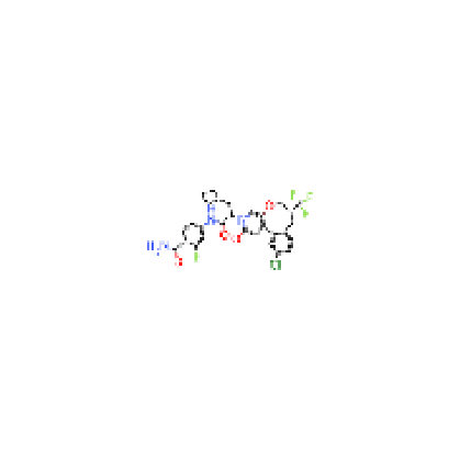 NC(=O)c1ccc(NC(=O)C(CC2CCC2)n2cc3c(cc2=O)-c2cc(Cl)ccc2CC(C(F)(F)F)CO3)cc1F